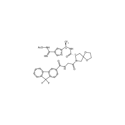 CC(=O)ONC(=N)c1csc([C@H](NC(=O)[C@@H]2CC3(CN2C(=O)CNC(=O)c2ccc4c(c2)-c2ccccc2C4(F)F)OCCO3)C(F)(F)F)c1